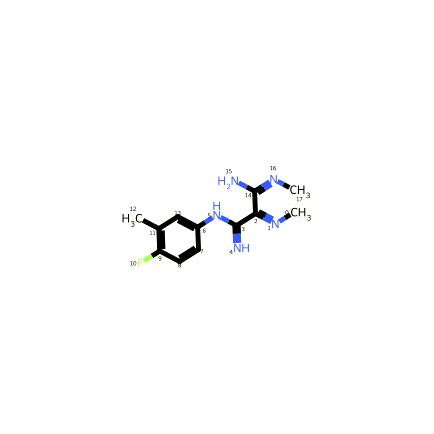 C/N=C(C(=N)Nc1ccc(F)c(C)c1)\C(N)=N/C